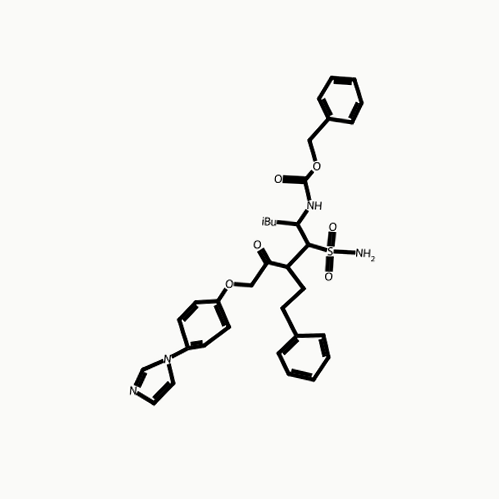 CCC(C)C(NC(=O)OCc1ccccc1)C(C(CCc1ccccc1)C(=O)COc1ccc(-n2ccnc2)cc1)S(N)(=O)=O